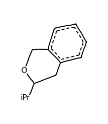 CC(C)C1Cc2ccccc2CO1